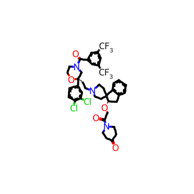 O=C1CCN(C(=O)CO[C@H]2Cc3ccccc3C23CCN(CC[C@@]2(c4ccc(Cl)c(Cl)c4)CN(C(=O)c4cc(C(F)(F)F)cc(C(F)(F)F)c4)CCO2)CC3)CC1